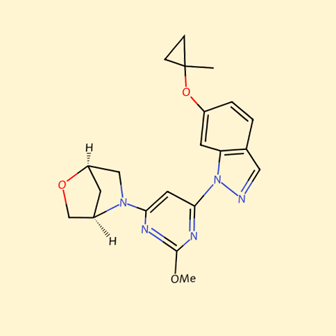 COc1nc(N2C[C@H]3C[C@@H]2CO3)cc(-n2ncc3ccc(OC4(C)CC4)cc32)n1